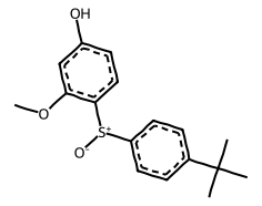 COc1cc(O)ccc1[S+]([O-])c1ccc(C(C)(C)C)cc1